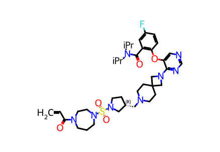 C=CC(=O)N1CCCN(S(=O)(=O)N2CC[C@H](CN3CCC4(CC3)CN(c3ncncc3Oc3ccc(F)cc3C(=O)N(C(C)C)C(C)C)C4)C2)CC1